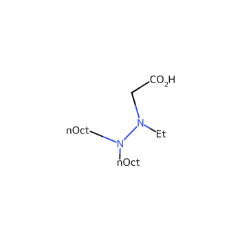 CCCCCCCCN(CCCCCCCC)N(CC)CC(=O)O